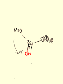 CCCC.CO[SiH](O)OC